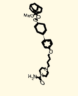 COC1(OO[C@H]2CC[C@@H](c3ccc(OCCCCN4CCN(C(N)=O)CC4)cc3)CC2)C2CC3CC(C2)CC1C3